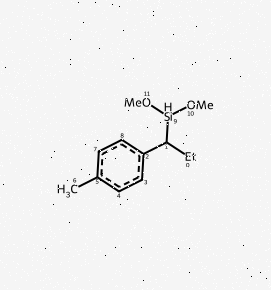 CCC(c1ccc(C)cc1)[SiH](OC)OC